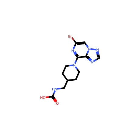 O=C(O)NCC1CCN(c2nc(Br)cn3ncnc23)CC1